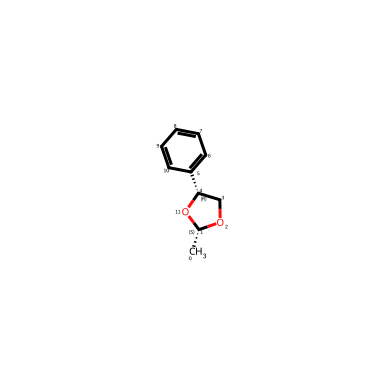 C[C@H]1OC[C@@H](c2ccccc2)O1